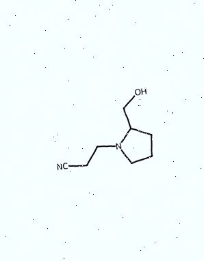 N#CCCN1CCCC1CO